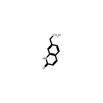 O=C(O)Cc1ccc2ccc(=O)[nH]c2c1